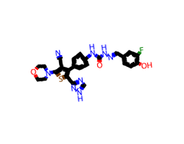 N#Cc1c(N2CCOCC2)sc(-c2nc[nH]n2)c1-c1ccc(NC(=O)N/N=C/c2ccc(O)c(F)c2)cc1